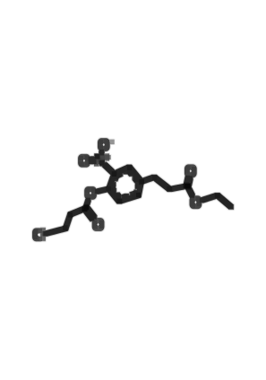 CCOC(=O)CCc1ccc(OC(=O)CCCl)c([N+](=O)[O-])c1